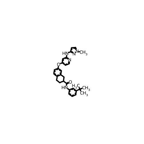 Cn1ccc(Nc2cc(Oc3ccc4c(c3)CC(C(=O)Nc3cccc(C(C)(C)C)c3)CC4)ccn2)n1